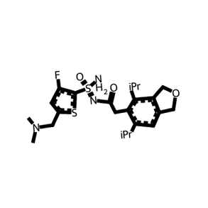 CC(C)c1cc2c(c(C(C)C)c1CC(=O)N=S(N)(=O)c1sc(CN(C)C)cc1F)COC2